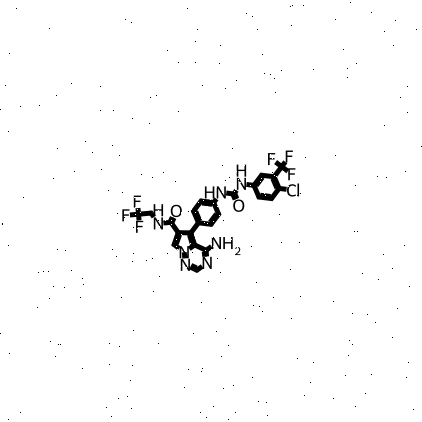 Nc1ncnn2cc(C(=O)NCC(F)(F)F)c(-c3ccc(NC(=O)Nc4ccc(Cl)c(C(F)(F)F)c4)cc3)c12